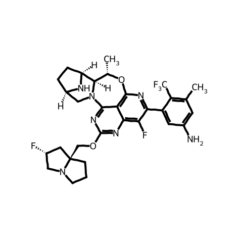 Cc1cc(N)cc(-c2nc3c4c(nc(OC[C@@]56CCCN5C[C@H](F)C6)nc4c2F)N2C[C@H]4CC[C@H](N4)[C@H]2[C@H](C)O3)c1C(F)(F)F